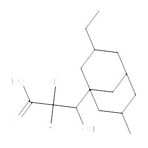 CCC1CC2CC(C)CC(C(O)C(F)(F)C(=O)O)(C1)C2